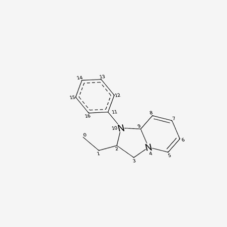 CCC1CN2C=CC=CC2N1c1ccccc1